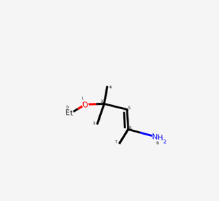 CCOC(C)(C)/C=C(\C)N